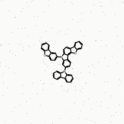 c1ccc2c(c1)oc1ccc(-n3c4cc(-n5c6ccccc6c6ccccc65)ccc4c4c5oc6ccccc6c5ccc43)cc12